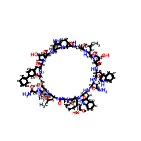 CC(C)C[C@@H]1NC(=O)C2CCCCCCC(NC(=O)[C@H](Cc3cn(CC(=O)O)c4ccccc34)NC(=O)[C@H](CCN)NC(=O)[C@H](Cc3c[nH]c4ccccc34)NC(=O)[C@@H]3C[C@@H](O)CN3C(=O)[C@H](CC(C)C)NC(=O)CNC(=O)[C@H]3CCCC4=C(N)C[C@@H](NC(=O)[C@@H]5C[C@H](O)CN5C(=O)[C@H](Cc5ccc(-c6ccccc6)cc5)NC(=O)C[S+]([O-])C[C@@H](C(=O)NCC(N)=O)N(C)C1=O)C(=O)N43)C(=O)N2C